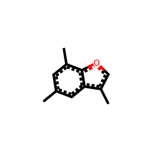 Cc1cc(C)c2occ(C)c2c1